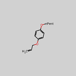 C=CCOc1ccc(OCCCCC)cc1